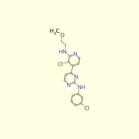 COCCNc1nccc(-c2ccnc(Nc3cccc(Cl)c3)n2)c1Cl